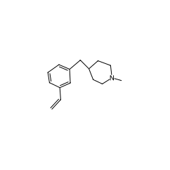 C=Cc1cccc(CC2CCN(C)CC2)c1